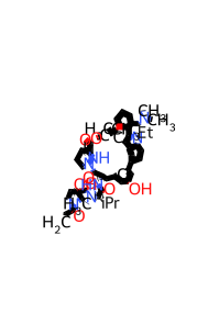 C=CC(=O)N1CC[C@](O)(C(=O)N(C)[C@H](C(=O)N[C@H]2Cc3cc(O)cc(c3)-c3ccc4c(c3)c(c(-c3ccccc3CN(C)C)n4CC)CC(C)(C)COC(=O)[C@@H]3CCCN(N3)C2=O)C(C)C)C1